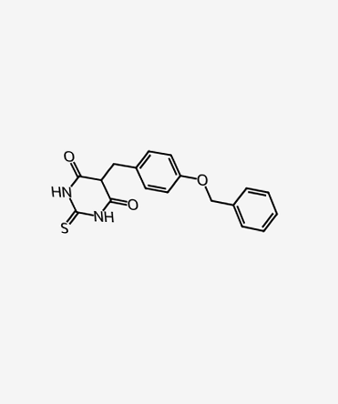 O=C1NC(=S)NC(=O)C1Cc1ccc(OCc2ccccc2)cc1